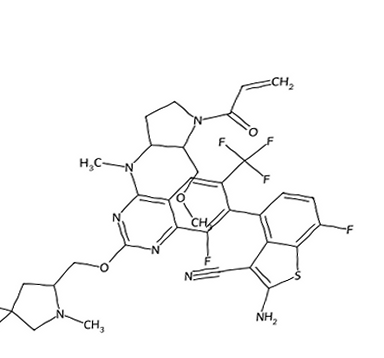 C=CC(=O)N1CCC(N(C)c2nc(OCC3CC4(CC4)CN3C)nc3c(F)c(-c4ccc(F)c5sc(N)c(C#N)c45)c(C(F)(F)F)cc23)C1COC